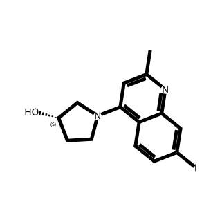 Cc1cc(N2CC[C@H](O)C2)c2ccc(I)cc2n1